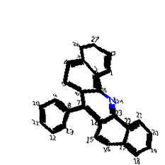 C1=Cc2c(ccc3c(-c4ccccc4)c4ccc5ccccc5c4nc23)CC1